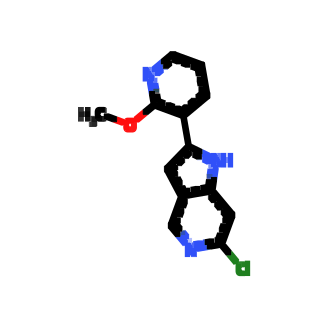 COc1ncccc1-c1cc2cnc(Cl)cc2[nH]1